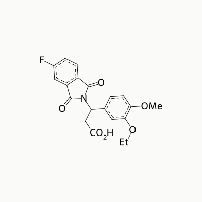 CCOc1cc(C(CC(=O)O)N2C(=O)c3ccc(F)cc3C2=O)ccc1OC